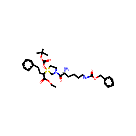 CCOC(=O)C(CCc1ccccc1)S1(OC(=O)OC(C)(C)C)CCN(C(=O)[C@@H](N)CCCCNC(=O)OCc2ccccc2)C1